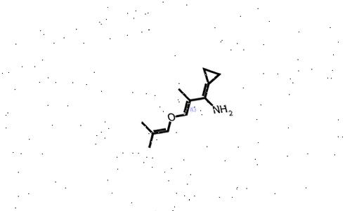 CC(C)=CO/C=C(\C)C(N)=C1CC1